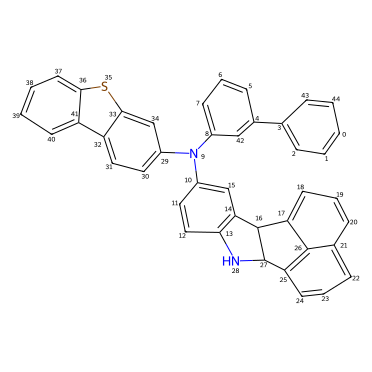 c1ccc(-c2cccc(N(c3ccc4c(c3)C3c5cccc6cccc(c56)C3N4)c3ccc4c(c3)sc3ccccc34)c2)cc1